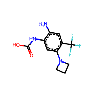 Nc1cc(C(F)(F)F)c(N2CCC2)cc1NC(=O)O